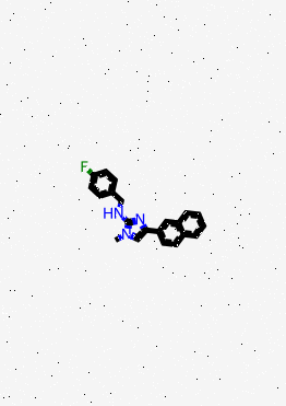 Cn1cc(-c2ccc3ccccc3c2)nc1NCc1ccc(F)cc1